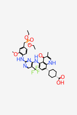 CCOP(=O)(Cc1ccc(Nc2ncc(C(F)(F)F)c(Nc3ccc([C@H]4CC[C@@H](C(=O)O)CC4)c4[nH]cc(C)c(=O)c34)n2)c(OC)c1)OCC